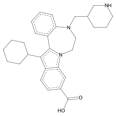 O=C(O)c1ccc2c(C3CCCCC3)c3n(c2c1)CCN(CC1CCCNC1)c1ccccc1-3